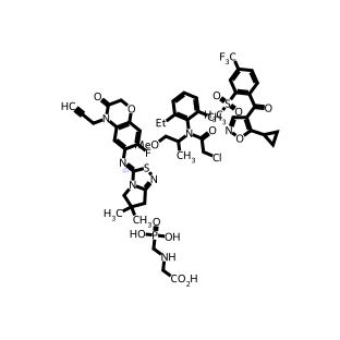 C#CCN1C(=O)COc2cc(F)c(/N=c3\snc4n3CC(C)(C)C4)cc21.CCc1cccc(C)c1N(C(=O)CCl)C(C)COC.CS(=O)(=O)c1cc(C(F)(F)F)ccc1C(=O)c1cnoc1C1CC1.O=C(O)CNCP(=O)(O)O